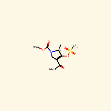 COC(=O)C1=C(OS(=O)(=O)C(F)(F)F)[C@H](C)N(C(=O)OC(C)(C)C)C1